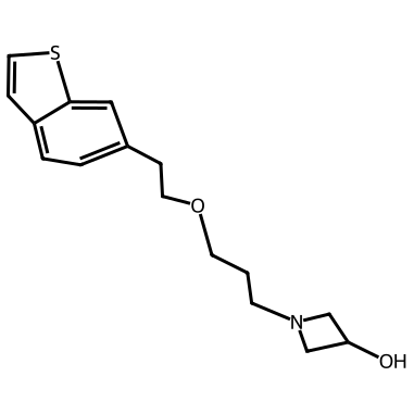 OC1CN(CCCOCCc2ccc3ccsc3c2)C1